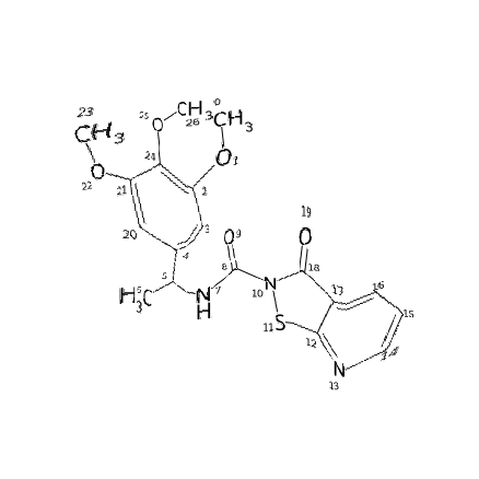 COc1cc(C(C)NC(=O)n2sc3ncccc3c2=O)cc(OC)c1OC